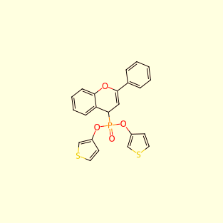 O=P(Oc1ccsc1)(Oc1ccsc1)C1C=C(c2ccccc2)Oc2ccccc21